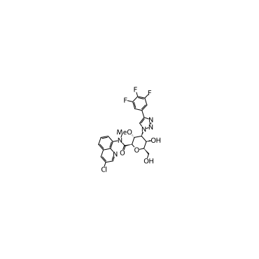 CO[C@@H]1[C@@H](n2cc(-c3cc(F)c(F)c(F)c3)nn2)[C@@H](O)[C@@H](CO)O[C@H]1C(=O)N(C)c1cccc2cc(Cl)cnc12